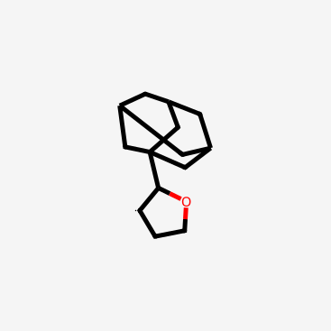 [CH]1CCOC1C12CC3CC(CC(C3)C1)C2